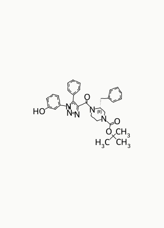 CC(C)(C)OC(=O)N1CCN(C(=O)c2nnn(-c3cccc(O)c3)c2-c2ccccc2)[C@H](Cc2ccccc2)C1